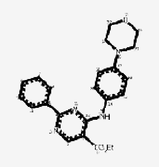 CCOC(=O)c1cnc(-c2ccccc2)nc1Nc1ccc(N2CCOCC2)cc1